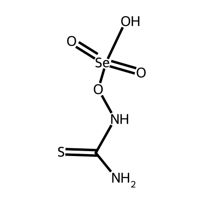 NC(=S)NO[Se](=O)(=O)O